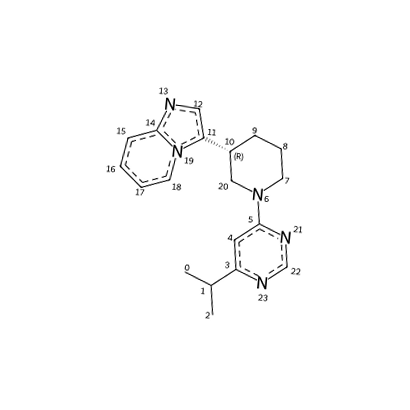 CC(C)c1cc(N2CCC[C@@H](c3cnc4ccccn34)C2)ncn1